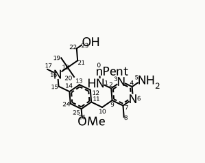 CCCCCNc1nc(N)nc(C)c1Cc1ccc(CN(C)C(C)(C)CCO)cc1OC